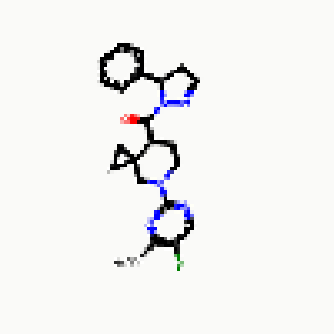 CC(=O)Nc1nc(N2CCC(C(=O)N3N=CCC3c3ccccc3)C3(CC3)C2)ncc1F